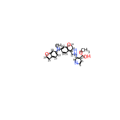 COC(O)c1ccncc1NC[C@@H]1CCOc2cc(N(C)c3ccc4ccoc4c3)ccc21